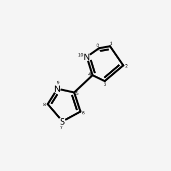 [c]1cccc(-c2cscn2)n1